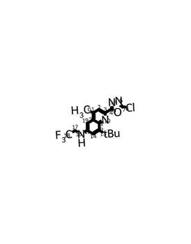 Cc1cc(-c2nnc(Cl)o2)nc2c(C(C)(C)C)cc(NCC(F)(F)F)cc12